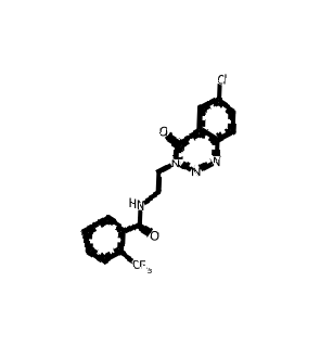 O=C(NCCn1nnc2ccc(Cl)cc2c1=O)c1ccccc1C(F)(F)F